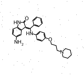 Nc1ccc2c(c1)C(=C(Nc1ccc(OCCCN3CCCCC3)cc1)c1ccccc1)C(=O)N2